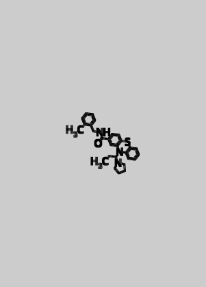 CCC(N1CCCC1)N1c2ccccc2Sc2ccc(C(=O)NCc3ccccc3C)cc21